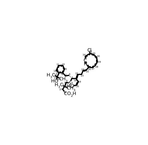 CC(C)(CS[C@H](CCc1ccccc1C(C)(C)O)C(/C=C\O)=C/C/C=C/c1cccccc(Cl)ccn1)CC(=O)O